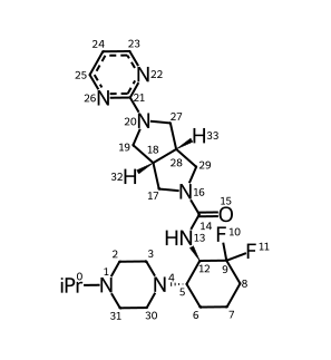 CC(C)N1CCN([C@H]2CCCC(F)(F)[C@@H]2NC(=O)N2C[C@@H]3CN(c4ncccn4)C[C@@H]3C2)CC1